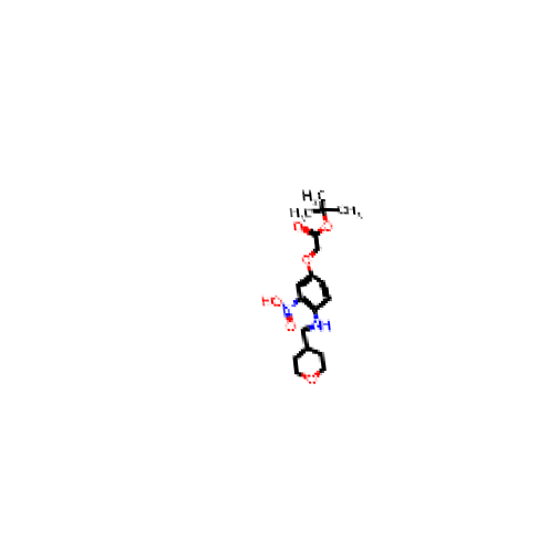 CC(C)(C)OC(=O)COc1ccc(NCC2CCOCC2)c([N+](=O)O)c1